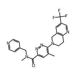 Cc1cc(C(=O)N(C)Cc2ccncc2)nnc1N1CCc2ncc(C(F)(F)F)cc2C1